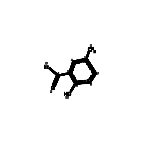 CCC(=O)c1cc(C(F)(F)F)ccc1O